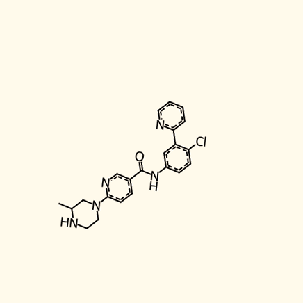 CC1CN(c2ccc(C(=O)Nc3ccc(Cl)c(-c4ccccn4)c3)cn2)CCN1